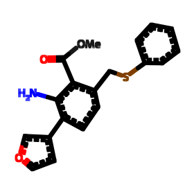 COC(=O)c1c(CSc2ccccc2)ccc(-c2ccoc2)c1N